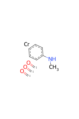 CNc1ccccc1.[C]=O.[C]=O.[C]=O.[Cr]